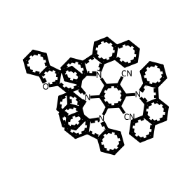 N#Cc1c(-n2c3ccccc3c3ccc4ccccc4c32)c(C#N)c(-n2c3ccccc3c3ccc4ccccc4c32)c(-n2c3ccccc3c3c4oc5ccccc5c4ccc32)c1-n1c2ccccc2c2ccc3ccccc3c21